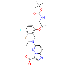 CCN(Cc1c(O[C@@H](C)CNC(=O)OC(C)(C)C)ccc(F)c1Br)c1ccc2ncc(C(=O)O)n2n1